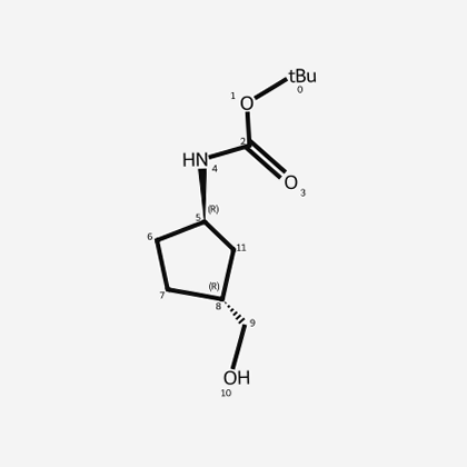 CC(C)(C)OC(=O)N[C@@H]1CC[C@@H](CO)C1